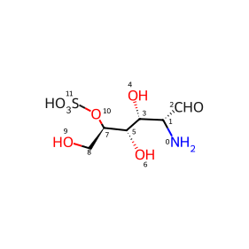 N[C@@H](C=O)[C@@H](O)[C@H](O)[C@@H](CO)OS(=O)(=O)O